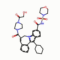 O=C(NS(=O)(=O)N1CCOCC1)c1ccc2c(C3CCCCC3)c3n(c2c1)CC(C(=O)N1CCN(C(=O)CO)CC1)=Cc1ccccc1-3